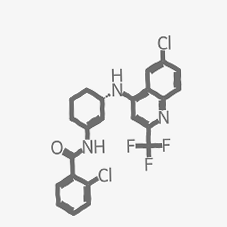 O=C(NC1=C[C@@H](Nc2cc(C(F)(F)F)nc3ccc(Cl)cc23)CCC1)c1ccccc1Cl